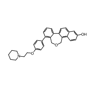 Oc1ccc2c3c(ccc2c1)-c1cccc(-c2ccc(OCCN4CCCCC4)cc2)c1COC3